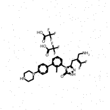 Cc1c(-c2ccc(N3CCNCC3)cc2)cccc1-n1c(CC(CN)=C(F)F)n[nH]c1=O.O=C(O)C(F)(F)F.O=C(O)C(F)(F)F